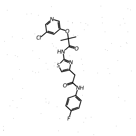 CC(C)(Oc1cncc(Cl)c1)C(=O)Nc1nc(CC(=O)Nc2ccc(F)cc2)cs1